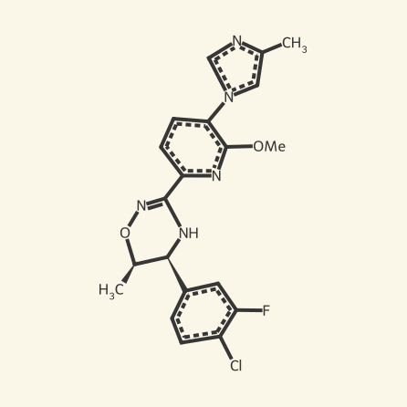 COc1nc(C2=NO[C@H](C)[C@H](c3ccc(Cl)c(F)c3)N2)ccc1-n1cnc(C)c1